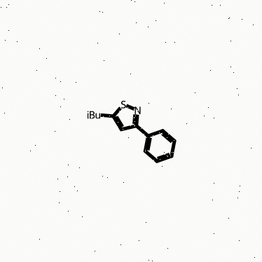 CCC(C)c1cc(-c2ccccc2)ns1